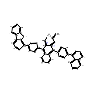 C=C/C=c1/c(-c2ccc(-c3cccc4ccccc34)cc2)c2ccccc2c(-c2ccc(-c3cccc4c3sc3ccccc34)cc2)/c1=C/C